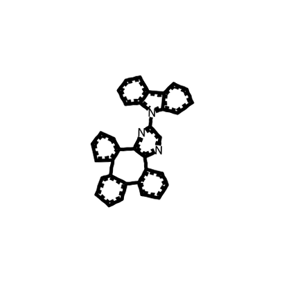 c1ccc2c(c1)-c1ccccc1-c1ncc(-n3c4ccccc4c4ccccc43)nc1-c1ccccc1-2